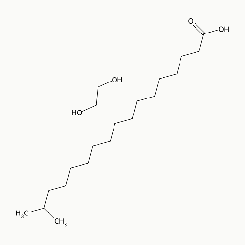 CC(C)CCCCCCCCCCCCCCC(=O)O.OCCO